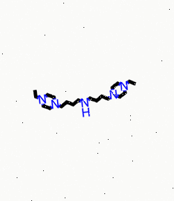 CCN1CCN(CCCCNCCCCN2CCN(CC)CC2)CC1